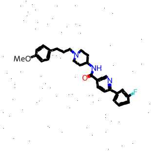 COc1ccc(CCCN2CCC(NC(=O)c3ccc(-c4cccc(F)c4)nc3)CC2)cc1